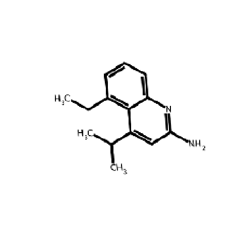 CCc1cccc2nc(N)cc(C(C)C)c12